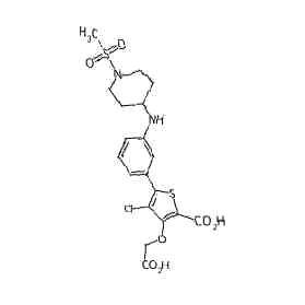 CS(=O)(=O)N1CCC(Nc2cccc(-c3sc(C(=O)O)c(OCC(=O)O)c3Cl)c2)CC1